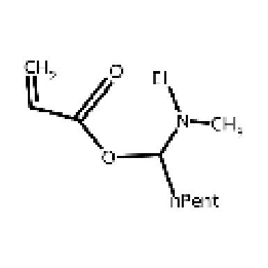 C=CC(=O)OC(CCCCC)N(C)CC